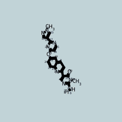 CC(C)Nc1ncc(-c2ccc3cc(Oc4ccnc(-c5cnn(C)c5)n4)ccc3n2)c(=O)n1C